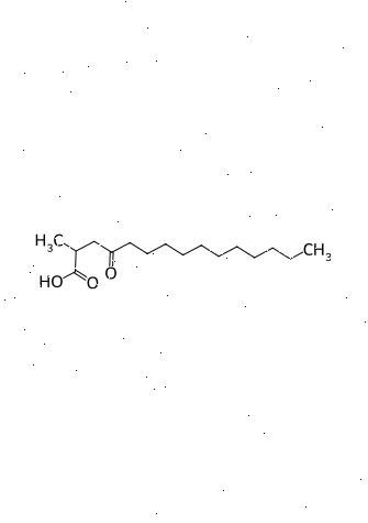 CCCCCCCCCCCC(=O)CC(C)C(=O)O